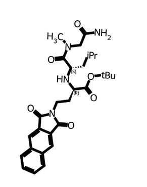 CC(C)C[C@H](N[C@H](CCN1C(=O)c2cc3ccccc3cc2C1=O)C(=O)OC(C)(C)C)C(=O)N(C)CC(N)=O